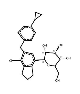 OCC1O[C@@H](c2cc(Cc3ccc(C4CC4)cc3)c(Cl)c3c2CCO3)[C@H](O)[C@@H](O)[C@@H]1O